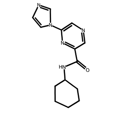 O=C(NC1CCCCC1)c1cncc(-n2ccnc2)n1